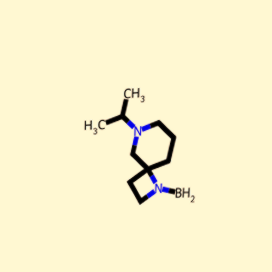 BN1CCC12CCCN(C(C)C)C2